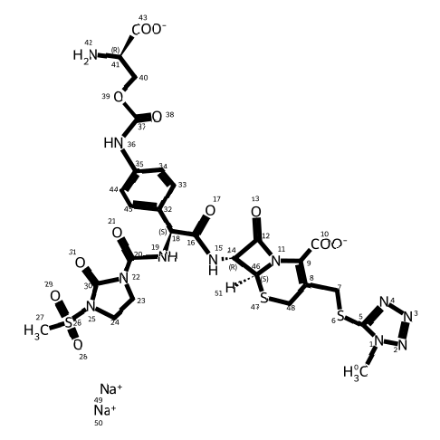 Cn1nnnc1SCC1=C(C(=O)[O-])N2C(=O)[C@@H](NC(=O)[C@@H](NC(=O)N3CCN(S(C)(=O)=O)C3=O)c3ccc(NC(=O)OC[C@@H](N)C(=O)[O-])cc3)[C@@H]2SC1.[Na+].[Na+]